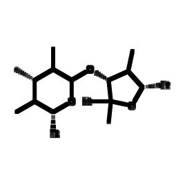 CC[C@@H]1OC(C)(CC)[C@H](OC2O[C@H](CC)C(C)[C@H](C)C2C)C1C